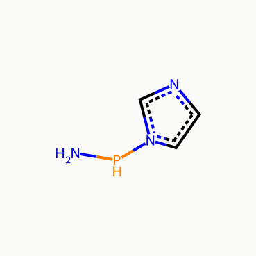 NPn1ccnc1